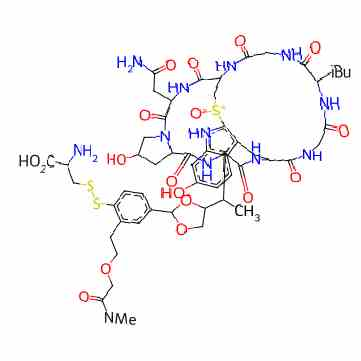 CCC(C)C1NC(=O)CNC(=O)C2Cc3c([nH]c4cc(O)ccc34)[S+]([O-])CC(NC(=O)CNC1=O)C(=O)NC(CC(N)=O)C(=O)N1CC(O)CC1C(=O)NC(C(C)C1COC(c3ccc(SSCC(N)C(=O)O)c(CCOCC(=O)NC)c3)O1)C(=O)N2